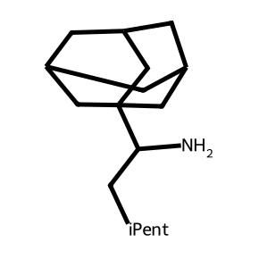 CCCC(C)CC(N)C12CC3CC(CC(C3)C1)C2